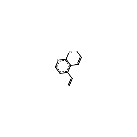 C=Cc1ccnc(C(C)C)c1/C=C\C